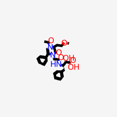 COCCC1C(=O)N(CC(=O)N[C@@H](Cc2ccccc2)C(O)C(=O)O)C(c2ccccc2)=CN1C(C)=O